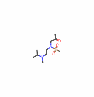 CC(=O)CN(CCN(C)C(C)C)S(C)(=O)=O